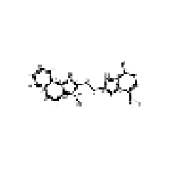 CC1CC=C(C(F)(F)F)c2cc(CCc3nc4c5cccnc5ccc4n3C)nn21